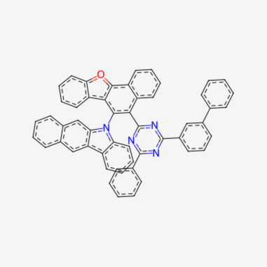 c1ccc(-c2cccc(-c3nc(-c4ccccc4)nc(-c4c(-n5c6ccccc6c6cc7ccccc7cc65)c5c6ccccc6oc5c5ccccc45)n3)c2)cc1